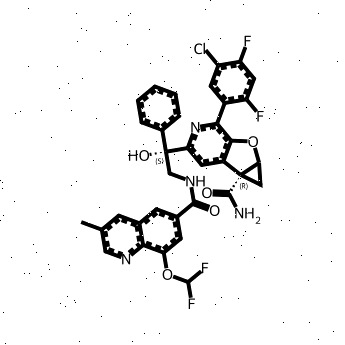 Cc1cnc2c(OC(F)F)cc(C(=O)NC[C@@](O)(c3ccccc3)c3cc4c(c(-c5cc(Cl)c(F)cc5F)n3)OC3C[C@@]43C(N)=O)cc2c1